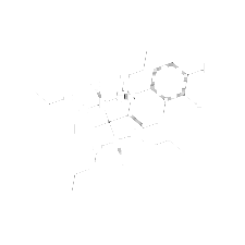 CCOOP(=O)(OOCC)C(O)(C1=COc2c(ccc(F)c2F)N1)P(=O)(OOCC)OOCC